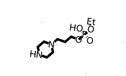 CCOP(=O)(O)OCCCN1CCNCC1